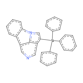 c1ccc([Si](c2ccccc2)(c2ccccc2)c2cn3c4ccccc4c4cncc2c43)cc1